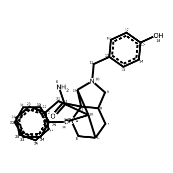 NC(=O)C12NCC3CC1CN(Cc1ccc(O)cc1)C2C3(Cc1ccccc1)Cc1ccccc1